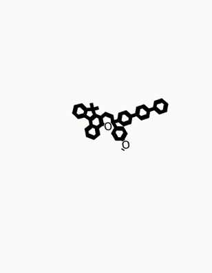 COc1ccc(C2(c3ccc(-c4ccc(-c5ccccc5)cc4)cc3)C=Cc3c4c(c5ccccc5c3O2)-c2ccccc2C4(C)C)cc1